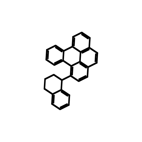 c1ccc2c(c1)CCCC2c1ccc2ccc3cccc4c5ccccc5c1c2c34